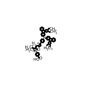 CCCCC1(CCCC)c2ccccc2-c2ccc(N(c3ccc(-c4ccc(/C=C5\C(=O)N(c6ccc(C(=O)O)cc6)N=C5C(C)(C)C)s4)cc3)c3ccc4c(c3)C(CCCC)(CCCC)c3ccccc3-4)cc21